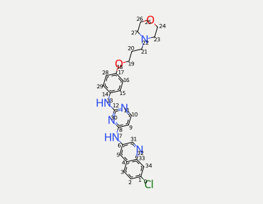 Clc1ccc2cc(Nc3ccnc(Nc4ccc(OCCCN5CCOCC5)cc4)n3)cnc2c1